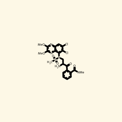 CNC(=O)c1ccccc1C(=O)C(N)CN(c1c(Cl)c(Cl)cc2nc(OC)c(OC)nc12)S(C)(=O)=O